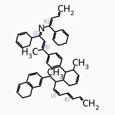 C=C/C=C/C=C\C(C(C)c1ccc2c(c1)CCC=C2)C1CC=CC(C)C1c1ccc(/C(C)=C/C(=N\C(=C\C=C)C2=CCCC=C2)C2C=CC=CC2)cc1